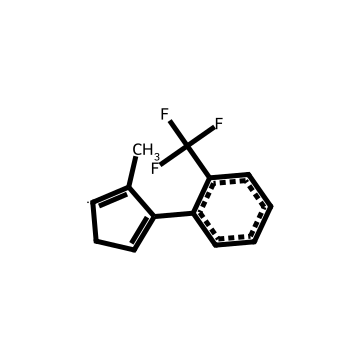 CC1=[C]CC=C1c1ccccc1C(F)(F)F